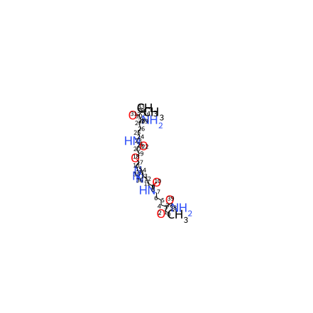 CC(=O)C(CCCCNC(=O)CCc1cn(CCOCCC(=O)NCCCCC(N)C(=O)C(C)C)nn1)C(N)=O